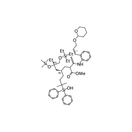 CC[C@@](CO[Si](CC)(CC)CC)(C[C@H](CCC(C)(C)[Si](O)(c1ccccc1)c1ccccc1)CC(C(=O)OC)C(=S)Nc1ccccc1/C=C\COC1CCCCO1)O[Si](C)(C)C